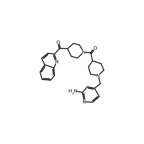 Nc1cc(CN2CCC(C(=O)N3CCC(C(=O)c4ccc5ccccc5n4)CC3)CC2)ccn1